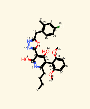 CCCCc1nc(O)c(-c2nnc(Cc3ccc(Cl)cc3C)o2)c(O)c1-c1c(OC)cccc1OC